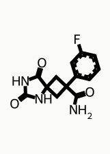 NC(=O)C1(c2cccc(F)c2)CC2(C1)NC(=O)NC2=O